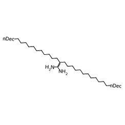 CCCCCCCCCCCCCCCCCCCCCCC(CCCCCCCCCCCCCCCCCCCCC)=C(N)N